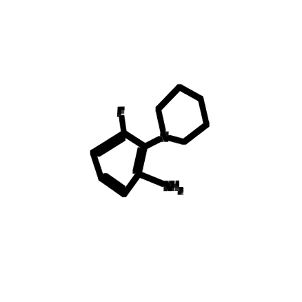 Nc1cccc(F)c1N1CCCCC1